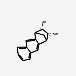 O[C@@H]1C2CC(c3cc4ccccc4cc32)[C@@H]1O